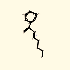 C=C(/C=C/CCCC)c1ccccc1